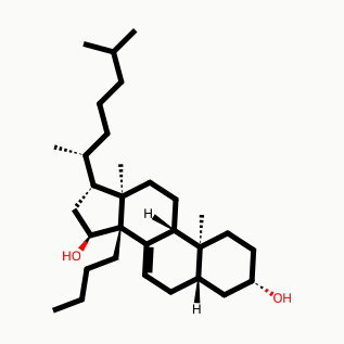 CCCC[C@]12C3=CC[C@H]4C[C@@H](O)CC[C@]4(C)[C@H]3CC[C@]1(C)[C@@H]([C@H](C)CCCC(C)C)C[C@@H]2O